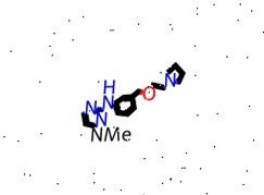 CNc1ccnc(Nc2cccc(COCCN3CCCC3)c2)n1